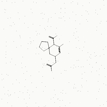 CC(=O)C1C(C)=CC(CC(=O)O)CC12CCCC2